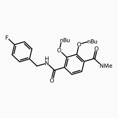 CCCCOc1c(C(=O)NC)ccc(C(=O)NCc2ccc(F)cc2)c1OCCCC